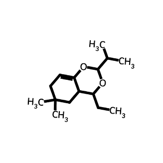 CCC1OC(C(C)C)OC2=CCC(C)(C)CC21